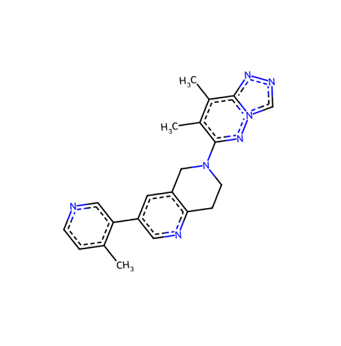 Cc1ccncc1-c1cnc2c(c1)CN(c1nn3cnnc3c(C)c1C)CC2